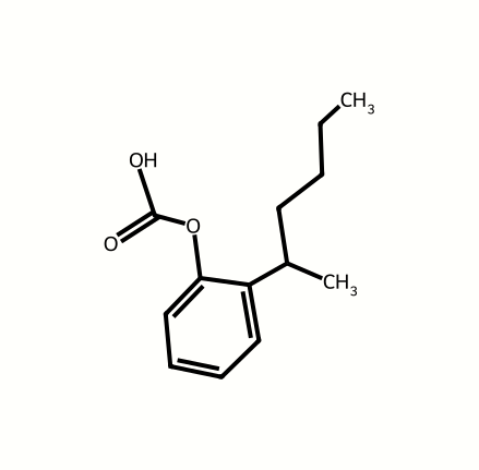 CCCCC(C)c1ccccc1OC(=O)O